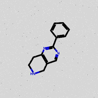 c1ccc(-c2ncc3c(n2)CCNC3)cc1